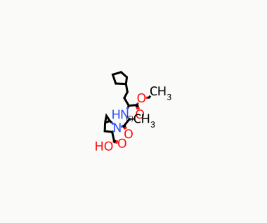 CCOC(=O)C(CCC1CCCC1)N[C@@H](C)C(=O)N1C(C(=O)O)CC2CC21